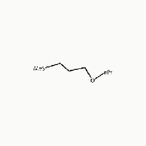 [CH2]CCOCCCSC